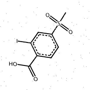 CS(=O)(=O)c1ccc(C(=O)O)c(I)c1